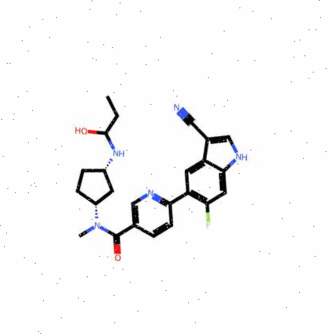 CCC(O)N[C@H]1CC[C@@H](N(C)C(=O)c2ccc(-c3cc4c(C#N)c[nH]c4cc3F)nc2)C1